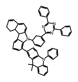 CC1(C)c2ccccc2N(c2ccccc2)c2ccc(-c3cccc4c3N(C3C=CC=C(c5nc(-c6ccccc6)nc(-c6ccccc6)n5)C3)C3=CC=C5C=CCCC5C34)cc21